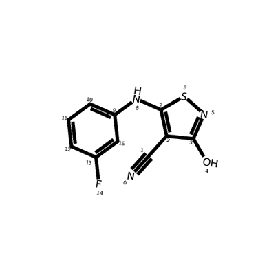 N#Cc1c(O)nsc1Nc1cccc(F)c1